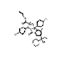 C=CCOC(=O)C(C)C(c1ccc(Cl)cc1)N1C(=O)c2cc(C(O)(CC)C3CCOCC3)cc(F)c2[C@]1(O)c1ccc(Cl)cc1